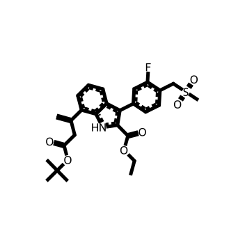 C=C(CC(=O)OC(C)(C)C)c1cccc2c(-c3ccc(CS(C)(=O)=O)c(F)c3)c(C(=O)OCC)[nH]c12